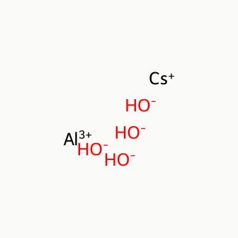 [Al+3].[Cs+].[OH-].[OH-].[OH-].[OH-]